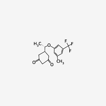 Cc1cc(O[C@@H](C)C2CC(=O)CC(=O)C2)cc(C(F)(F)F)c1